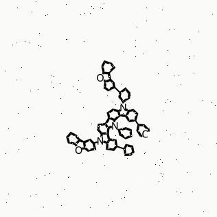 c1ccc(-c2ccc3c(c2)c2c(ccc4c5ccc6c(c7cc(-c8ccccc8)ccc7n6-c6ccc7oc8ccccc8c7c6)c5n(-c5ccccc5)c42)n3-c2cccc(-c3ccc4oc5ccccc5c4c3)c2)cc1